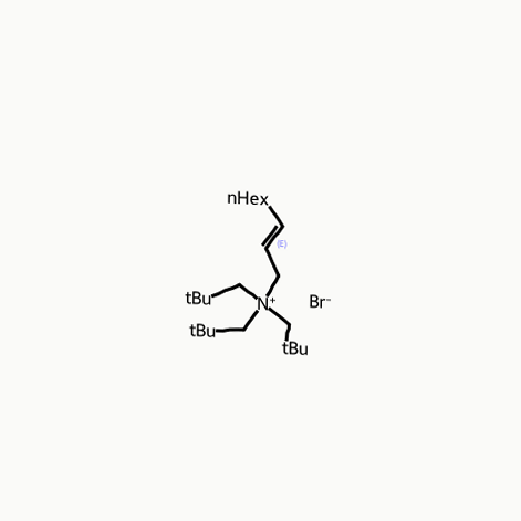 CCCCCC/C=C/C[N+](CC(C)(C)C)(CC(C)(C)C)CC(C)(C)C.[Br-]